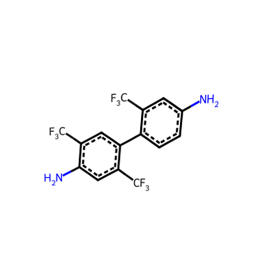 Nc1ccc(-c2cc(C(F)(F)F)c(N)cc2C(F)(F)F)c(C(F)(F)F)c1